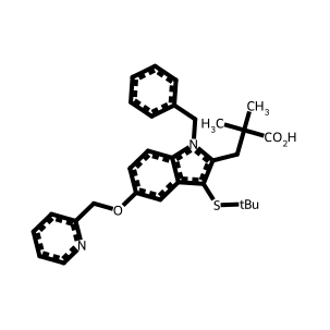 CC(C)(C)Sc1c(CC(C)(C)C(=O)O)n(Cc2ccccc2)c2ccc(OCc3ccccn3)cc12